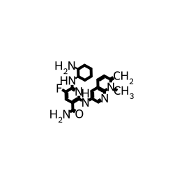 C=C1C=Cc2cc(Nc3nc(N[C@@H]4CCCC[C@@H]4N)c(F)cc3C(N)=O)cnc2N1C